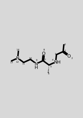 CC(=O)CN[C@H](C)C(=O)NCCN(C)C